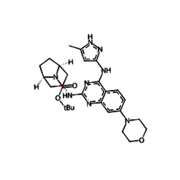 Cc1cc(Nc2nc(N[C@@H]3C[C@H]4CC[C@@H](C3)N4C(=O)OC(C)(C)C)nc3cc(N4CCOCC4)ccc23)n[nH]1